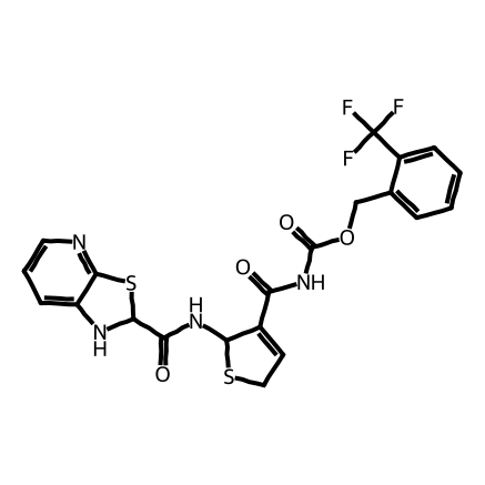 O=C(NC(=O)C1=CCSC1NC(=O)C1Nc2cccnc2S1)OCc1ccccc1C(F)(F)F